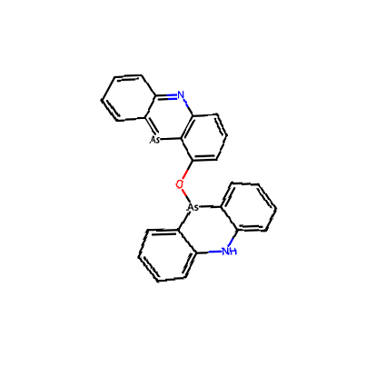 c1ccc2c(c1)Nc1ccccc1[As]2Oc1cccc2c1[As]=c1ccccc1=N2